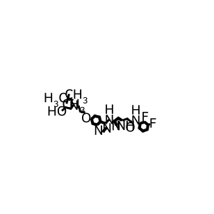 CC(C)(C)CN(CCO)CCCOc1ccc2c(Nc3cc(CC(=O)Nc4cccc(F)c4F)[nH]n3)ncnc2c1